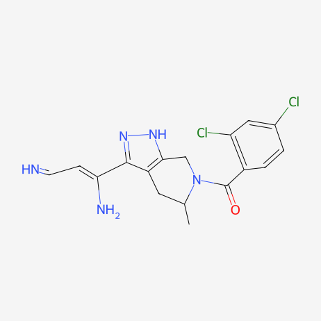 CC1Cc2c(/C(N)=C/C=N)n[nH]c2CN1C(=O)c1ccc(Cl)cc1Cl